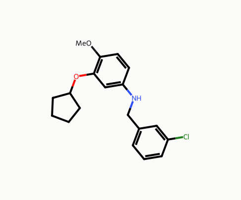 COc1ccc(NCc2cccc(Cl)c2)cc1OC1CCCC1